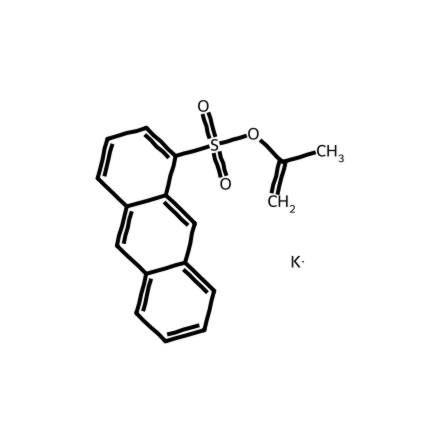 C=C(C)OS(=O)(=O)c1cccc2cc3ccccc3cc12.[K]